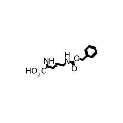 N[C@H](CCCNC(=O)OCc1ccccc1)C(=O)O